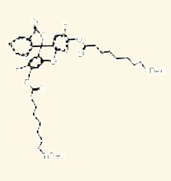 CCCCCCCCCCCCCCCCCC(=O)Oc1cc2c(cc1F)C1(OC(=O)c3ccccc31)c1cc(F)c(OC(=O)CCCCCCCCCCCCCCCCC)cc1O2